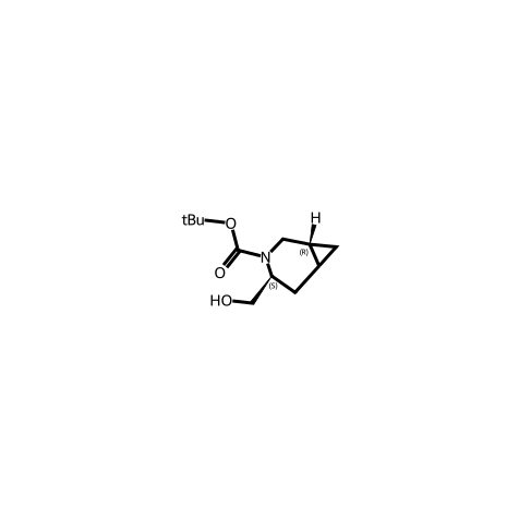 CC(C)(C)OC(=O)N1C[C@@H]2CC2C[C@H]1CO